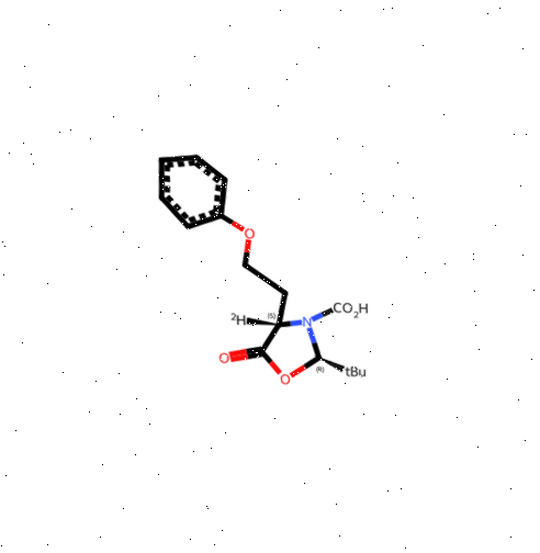 [2H][C@]1(CCOc2ccccc2)C(=O)O[C@H](C(C)(C)C)N1C(=O)O